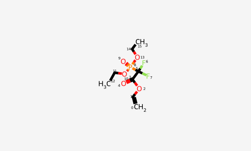 C=COC(=O)C(F)(F)P(=O)(OCC)OCC